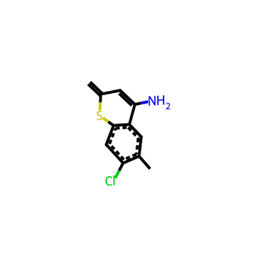 C=C1C=C(N)c2cc(C)c(Cl)cc2S1